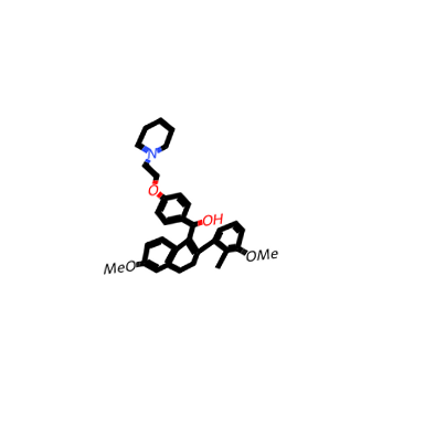 COc1ccc2c(c1)CCC(c1cccc(OC)c1C)=C2C(O)c1ccc(OCCN2CCCCC2)cc1